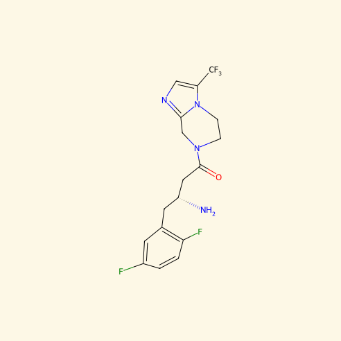 N[C@@H](CC(=O)N1CCn2c(C(F)(F)F)cnc2C1)Cc1cc(F)ccc1F